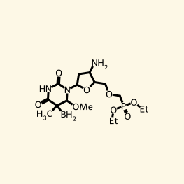 BC1(C)C(=O)NC(=O)N(C2CC(N)C(COCP(=O)(OCC)OCC)O2)C1OC